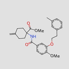 C=C1CCC(NC(=O)c2ccc(OC)c(OCCc3cccc(C)c3)c2)(C(=O)OC)CC1